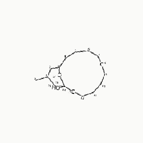 CC1CC2CCCCCCCCCCC(O)(C1)O2